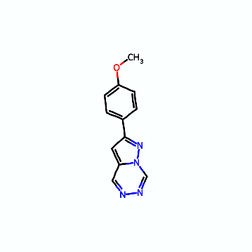 COc1ccc(-c2cc3cnncn3n2)cc1